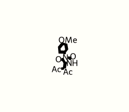 COc1ccc(N2C(=O)NC(=C(C(C)=O)C(C)=O)C2=O)cc1